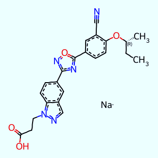 CC[C@@H](C)Oc1ccc(-c2nc(-c3ccc4c(cnn4CCC(=O)O)c3)no2)cc1C#N.[Na]